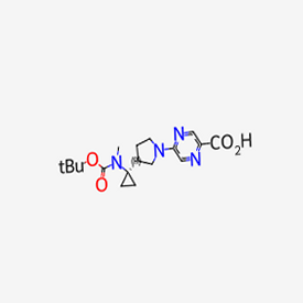 CN(C(=O)OC(C)(C)C)C1([C@@H]2CCN(c3cnc(C(=O)O)cn3)C2)CC1